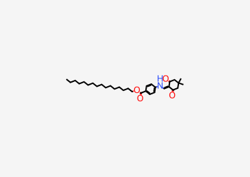 CCCCCCCCCCCCCCCCOC(=O)c1ccc(NC=C2C(=O)CC(C)(C)CC2=O)cc1